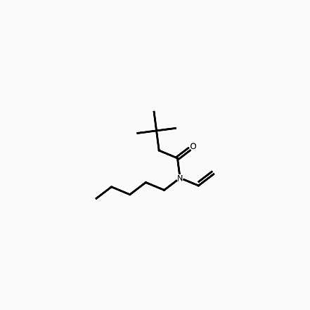 C=CN(CCCCC)C(=O)CC(C)(C)C